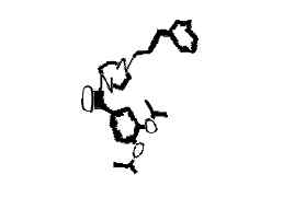 CC(C)Oc1ccc(C(=O)N2CCN(C/C=C/c3ccccc3)CC2)cc1OC(C)C